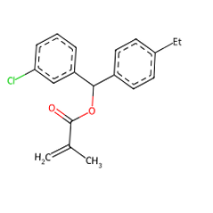 C=C(C)C(=O)OC(c1ccc(CC)cc1)c1cccc(Cl)c1